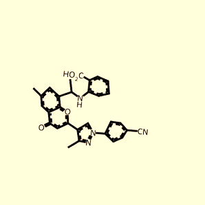 Cc1cc(C(C)Nc2ccccc2C(=O)O)c2oc(-c3cn(-c4ccc(C#N)cc4)nc3C)cc(=O)c2c1